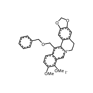 COc1ccc2c(COCc3ccccc3)c3[n+](cc2c1OC)CCc1cc2c(cc1-3)OCO2.[I-]